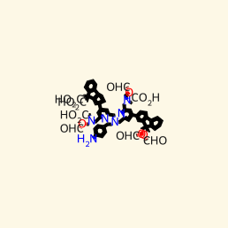 Nc1ccc(CCN(Cc2cc(-c3ccc4c(c3)C(COC=O)(COC=O)c3ccccc3-4)cc(CN(COC=O)CC(=O)O)n2)Cc2cc(-c3ccc4c(c3)C(CC(=O)O)(CC(=O)O)c3ccccc3-4)cc(CN(COC=O)CC(=O)O)n2)cc1